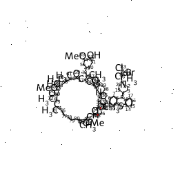 CN1CCC(=C2c3ccccc3Sc3ccccc32)CC1.CO[C@H]1C[C@@H]2CC[C@@H](C)[C@@](O)(O2)C(=O)C(=O)N2CCCC[C@H]2C(=O)O[C@H]([C@H](C)C[C@@H]2CC[C@@H](O)[C@H](OC)C2)CC(=O)[C@H](C)/C=C(\C)[C@@H](O)[C@@H](OC)C(=O)[C@H](C)C[C@H](C)/C=C/C=C/C=C/1C.ClC(Cl)Br